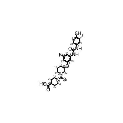 Cc1ccc(NC(=O)Nc2cc(F)cc(OC3CCCN(C(=O)N4CCC(C(=O)O)CC4)C3)c2)cn1